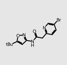 CC(C)(C)c1cc(NC(=O)Cc2ccc(Br)cn2)no1